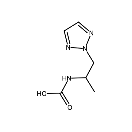 CC(Cn1nccn1)NC(=O)O